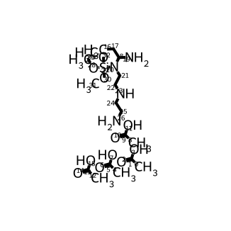 CC(=O)O.CC(=O)O.CC(=O)O.CC(=O)O.CCC(N)N(CCNCCN)[Si](OC)(OC)OC